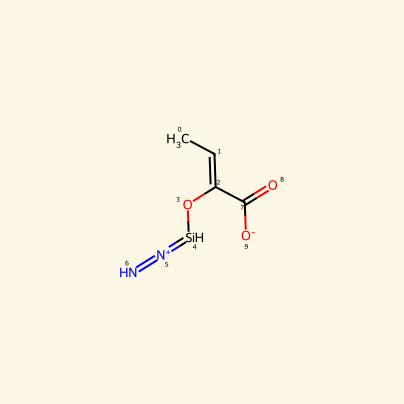 CC=C(O[SiH]=[N+]=N)C(=O)[O-]